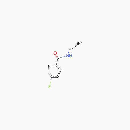 CC(C)CCNC(=O)c1ccc(F)cc1